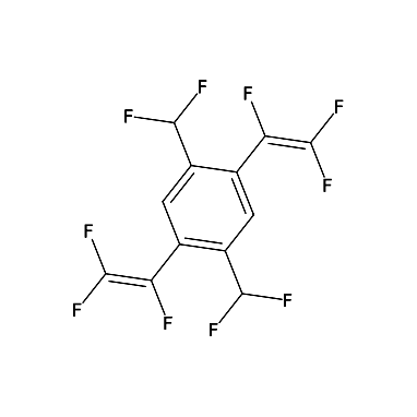 FC(F)=C(F)c1cc(C(F)F)c(C(F)=C(F)F)cc1C(F)F